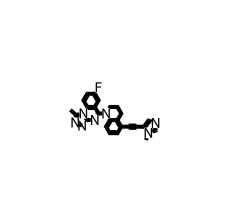 Cc1nnc2nc(N3CCCc4c(C#Cc5cncn5C)cccc43)c3cc(F)ccc3n12